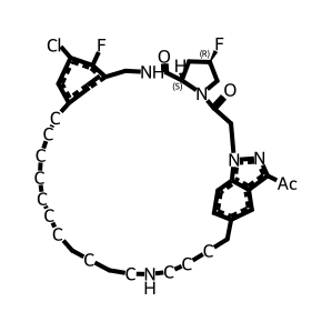 CC(=O)c1nn2c3ccc(cc13)CCCCNCCCCCCCCCCCc1cc(Cl)c(F)c(c1)CNC(=O)[C@@H]1C[C@@H](F)CN1C(=O)C2